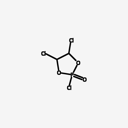 O=P1(Cl)OC(Cl)C(Cl)O1